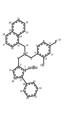 CCCCn1c(CN(Cc2ccc(F)cc2F)Cc2cccc3ccccc23)cnc1-c1ccccc1